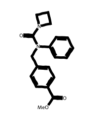 COC(=O)c1ccc(CN(C(=O)N2CCC2)c2ccccc2)cc1